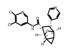 O=C(Nc1cnc(Cl)c(Cl)c1)[C@H]1[C@H]2O[C@H](C3C[C@@H]32)[C@H]1c1ccncc1